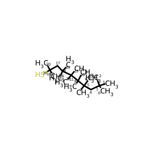 CC(C)(C)CC(C)(C)C(C)(C)C(C)(C)C(C)(C)CC(C)(C)S